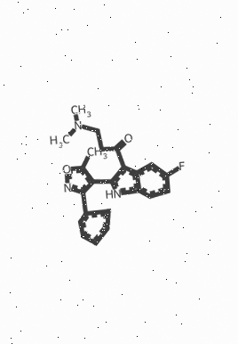 Cc1onc(-c2ccccc2)c1-c1[nH]c2ccc(F)cc2c1C(=O)CCN(C)C